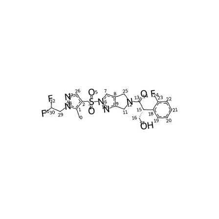 Cc1c(S(=O)(=O)n2cc3c(n2)CN(C(=O)[C@@H](CO)c2ccccc2F)C3)cnn1CC(F)F